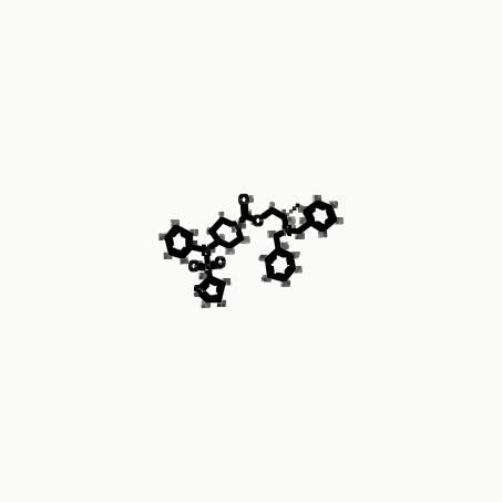 C[C@@H](COC(=O)N1CCC(N(c2ccccc2)S(=O)(=O)c2cccs2)CC1)N(Cc1ccccc1)Cc1ccccc1